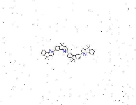 CC1(C)c2ccc(-c3ccc4c(n3)-c3ccccc3C4(C)C)cc2-c2cc(-c3ccc4c(n3)-c3cc(-c5ccc6c(n5)-c5ccccc5C6(C)C)ccc3C4(C)C)ccc21